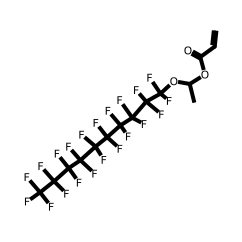 C=CC(=O)OC(C)OC(F)(F)C(F)(F)C(F)(F)C(F)(F)C(F)(F)C(F)(F)C(F)(F)C(F)(F)C(F)(F)C(F)(F)F